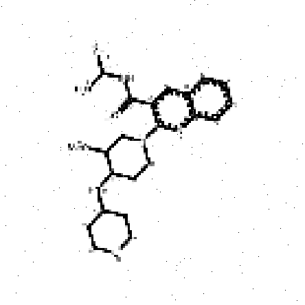 COC1CN(c2nc3ccccc3cc2C(=O)NC(C)N)CCC1NC1CCOCC1